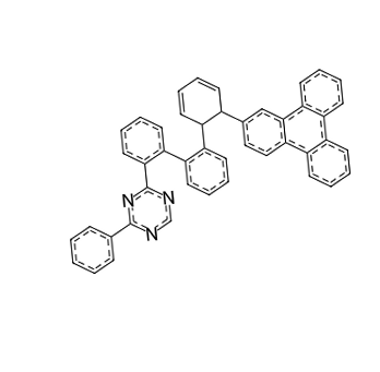 C1=CC(c2ccc3c4ccccc4c4ccccc4c3c2)C(c2ccccc2-c2ccccc2-c2ncnc(-c3ccccc3)n2)C=C1